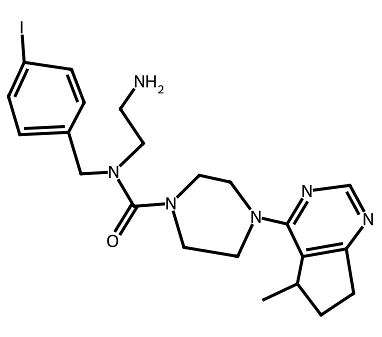 CC1CCc2ncnc(N3CCN(C(=O)N(CCN)Cc4ccc(I)cc4)CC3)c21